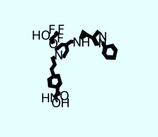 O=C(NO)c1ccc(CCCN2CCC(CNC3CC3c3cnn(-c4ccccc4)c3)CC2)cc1.O=C(O)C(F)(F)F